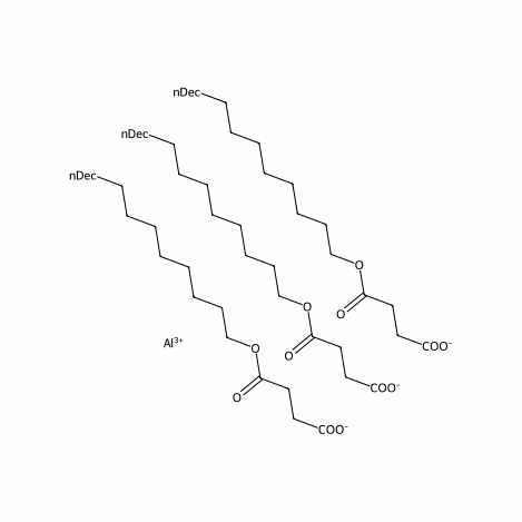 CCCCCCCCCCCCCCCCCCOC(=O)CCC(=O)[O-].CCCCCCCCCCCCCCCCCCOC(=O)CCC(=O)[O-].CCCCCCCCCCCCCCCCCCOC(=O)CCC(=O)[O-].[Al+3]